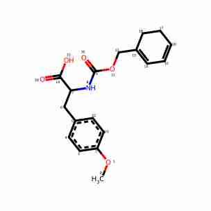 COc1ccc(CC(NC(=O)OCC2=CC=CCC2)C(=O)O)cc1